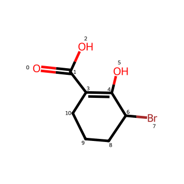 O=C(O)C1=C(O)C(Br)CCC1